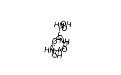 O=C(CCCCCC1OCCCc2[nH]c3ccccc3c2CNC(=O)c2ccccc2NC1=O)NO